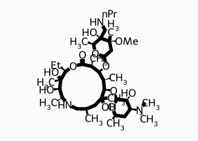 CCCNC[C@]1(O)[C@H](C)OC(O[C@H]2[C@H](C)[C@@H](O[C@@H]3O[C@H](C)C[C@H](N(C)C)[C@H]3O)C(C)(O)C[C@@H](C)CN[C@H](C)[C@@H](O)[C@](C)(O)[C@@H](CC)OC(=O)[C@@H]2C)C[C@@]1(C)OC